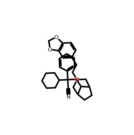 N#CC(CC1C2CCC1CN(CCc1ccc3c(c1)OCO3)C2)(c1ccccc1)C1CCCCC1